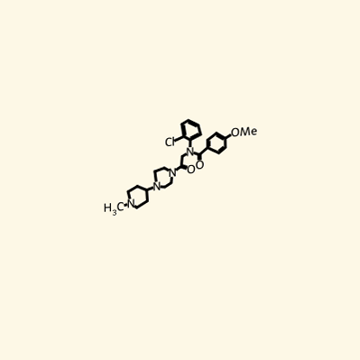 COc1ccc(C(=O)N(CC(=O)N2CCN(C3CCN(C)CC3)CC2)c2ccccc2Cl)cc1